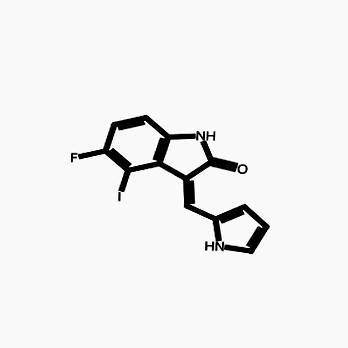 O=C1Nc2ccc(F)c(I)c2C1=Cc1ccc[nH]1